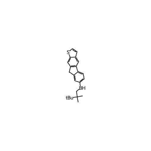 CC(C)(C)C(C)(C)CBc1ccc2c(c1)Cc1cc3sccc3cc1-2